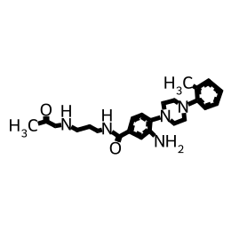 CC(=O)CNCCCNC(=O)c1ccc(N2CCN(c3ccccc3C)CC2)c(N)c1